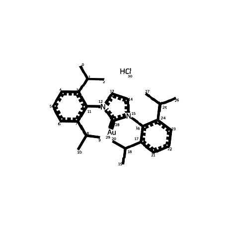 CC(C)c1cccc(C(C)C)c1-n1ccn(-c2c(C(C)C)cccc2C(C)C)[c]1=[Au].Cl